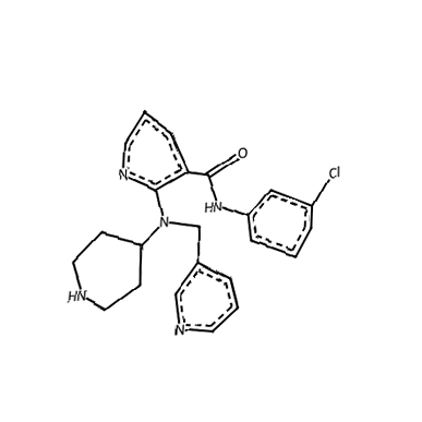 O=C(Nc1cccc(Cl)c1)c1cccnc1N(Cc1cccnc1)C1CCNCC1